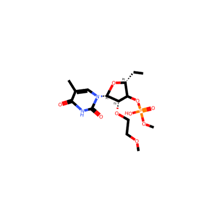 CC[C@H]1O[C@@H](n2cc(C)c(=O)[nH]c2=O)[C@@H](OCCOC)C1OP(=O)(O)OC